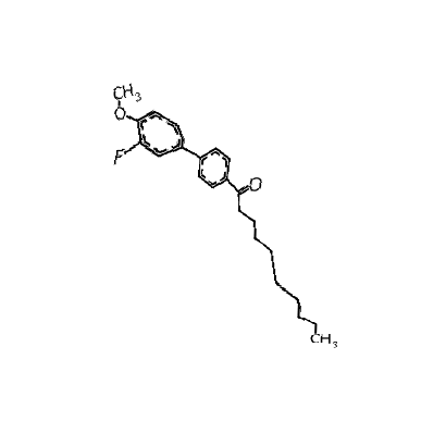 CCCCCCCCCC(=O)c1ccc(-c2ccc(OC)c(F)c2)cc1